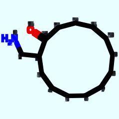 NCC1CCCCCCCCCCCC1=O